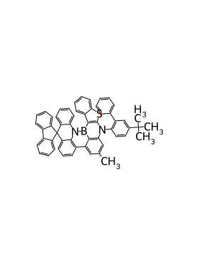 Cc1cc2c3c(c1)N(c1ccc(C(C)(C)C)cc1-c1ccccc1)c1sc4ccccc4c1B3N1c3ccccc3C3(c4ccccc4-c4ccccc43)c3cccc-2c31